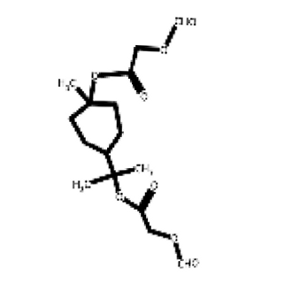 CC1(OC(=O)COC=O)CCC(C(C)(C)OC(=O)COC=O)CC1